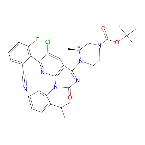 CC(C)c1ccccc1-n1c(=O)nc(N2CCN(C(=O)OC(C)(C)C)C[C@@H]2C)c2cc(Cl)c(-c3c(F)cccc3C#N)nc21